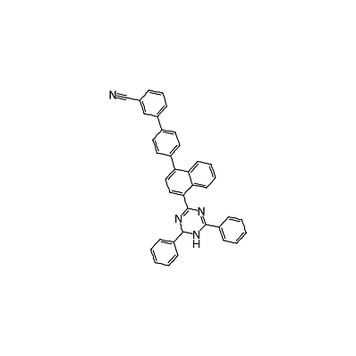 N#Cc1cccc(-c2ccc(-c3ccc(C4=NC(c5ccccc5)NC(c5ccccc5)=N4)c4ccccc34)cc2)c1